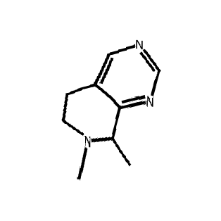 CC1c2ncncc2CCN1C